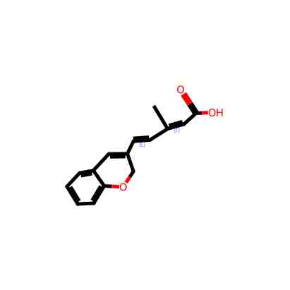 CC(/C=C/C1=Cc2ccccc2OC1)=C\C(=O)O